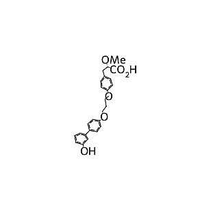 CO[C@@H](Cc1ccc(OCCCOc2ccc(-c3cccc(O)c3)cc2)cc1)C(=O)O